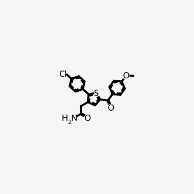 COc1ccc(C(=O)c2cc(CC(N)=O)c(-c3ccc(Cl)cc3)s2)cc1